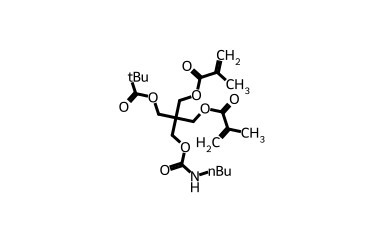 C=C(C)C(=O)OCC(COC(=O)NCCCC)(COC(=O)C(=C)C)COC(=O)C(C)(C)C